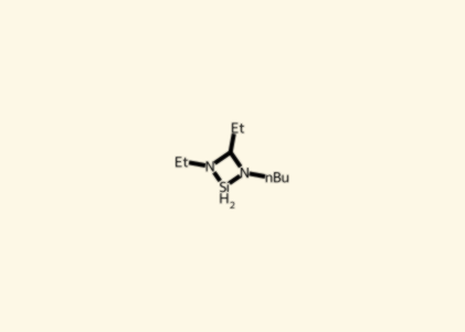 CCCCN1[SiH2]N(CC)C1CC